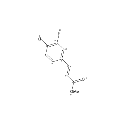 COC(=O)/C=C/c1ccc(Cl)c(F)c1